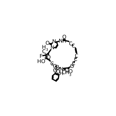 C[C@@H]1N[P@@](=O)(Oc2ccccc2)OCC2OC(n3ccc(nc3=O)NC(=O)CCCC=CCCCOC1=O)[C@](C)(F)[C@@H]2O